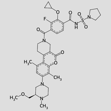 COC[C@H]1CN(c2cc(C)c3c4c(c(=O)oc3c2C)CN(C(=O)c2ccc(C(=O)NS(=O)(=O)N3CCCC3)c(OC3CC3)c2F)CC4)CCN1C